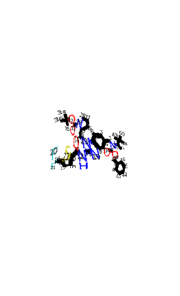 CC(N(Cc1ccc2c(c1)nc(NC(=O)c1ccc(C(F)F)s1)n2CC1CCCN1C(=O)OC(C)(C)C)C(=O)OCc1ccccc1)C(C)(C)C